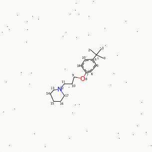 CC(C)(C)c1ccc(OCCCN2CCCCC2)cc1